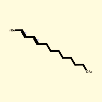 CCCC/C=C/C=C/CCCCCCCOC(C)=O